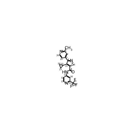 Cc1cc(-c2nsc(C(=O)Nc3ccnc(C(F)(F)F)c3)c2C2CC2)ccn1